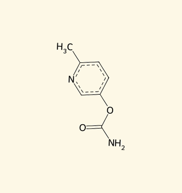 Cc1ccc(OC(N)=O)cn1